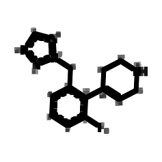 Fc1cccc([CH]n2ncnn2)c1C1=CCNCC1